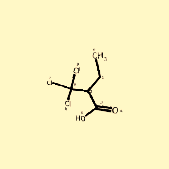 CCC(C(=O)O)C(Cl)(Cl)Cl